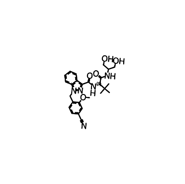 COc1cc(C#N)ccc1Cn1nc(C(=O)N[C@H](C(=O)NC(CO)CO)C(C)(C)C)c2ccccc21